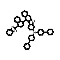 c1ccc(-c2ccc(N(c3ccc(-c4ccccc4)cc3)c3ccc4c(c3)oc3cc5ccccc5c(-c5ccc(-c6nc7ccccc7o6)c6ccccc56)c34)cc2)cc1